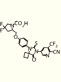 N#Cc1ncc(N2C(=O)C3(CCC3)N(c3ccc(OCC4CC(F)(F)CN4C(=O)O)cc3)C2=S)cc1C(F)(F)F